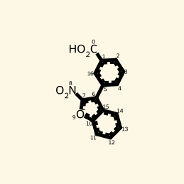 O=C(O)c1cccc(-c2c([N+](=O)[O-])oc3ccccc23)c1